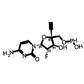 C#C[C@]1(COPO)O[C@@H](n2ccc(N)nc2=O)[C@@H](F)[C@@H]1O